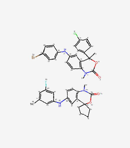 CN1C(=O)OC(C)(c2ccc(Cl)cc2)c2cc(Nc3ccc(Br)cc3)ccc21.CN1C(=O)OC2(CCCC2)c2cc(Nc3cc(F)cc(C#N)c3)ccc21